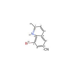 Cc1ccc2cc(C#N)cc(Br)c2n1